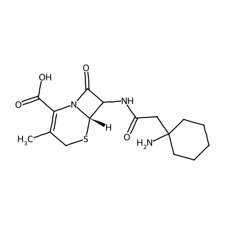 CC1=C(C(=O)O)N2C(=O)C(NC(=O)CC3(N)CCCCC3)[C@@H]2SC1